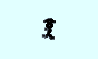 CC=CC(C)CO.O=C1C=CC(=O)c2ccccc21